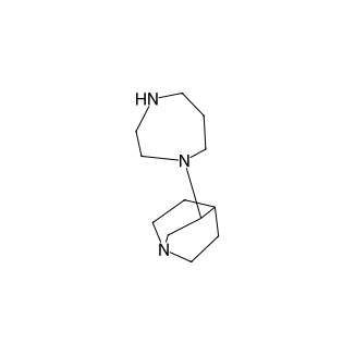 C1CNCCN(C2CN3CCC2CC3)C1